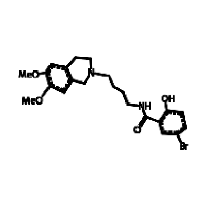 COc1cc2c(cc1OC)CN(CCCCNC(=O)c1cc(Br)ccc1O)CC2